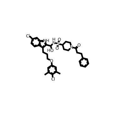 Cc1cc(OCCCc2c(C(O)NS(=O)(=O)C3CCN(C(=O)CCc4ccccc4)CC3)[nH]c3cc(Cl)ccc23)cc(C)c1Cl